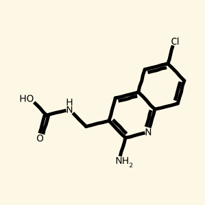 Nc1nc2ccc(Cl)cc2cc1CNC(=O)O